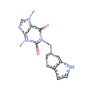 Cn1cnc2c1c(=O)n(Cc1ccc3cc[nH]c3c1)c(=O)n2C